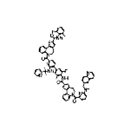 Cc1cc(-c2ccc(C(=O)N3CCc4cc(C(=O)Nc5c(C)cccc5F)sc4-c4ccccc43)nc2NC(C)(C)c2ccccn2)cc(F)c1NC(=O)c1cc2c(s1)-c1ccccc1N(C(=O)c1cccc(N(C)Cc3ccc4ncccc4c3)n1)CC2